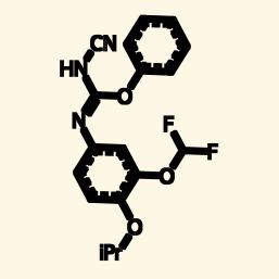 CC(C)Oc1ccc(N=C(NC#N)Oc2ccccc2)cc1OC(F)F